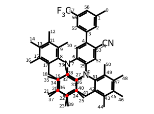 Cc1cc(-c2cc(N3c4c(C)c(C)c(C)c(C)c4Cc4c(C)c(C)c(C)c(C)c43)c(N3c4c(C)c(C)c(C)c(C)c4Cc4c(C)c(C)c(C)c(C)c43)cc2C#N)cc(C(F)(F)F)c1